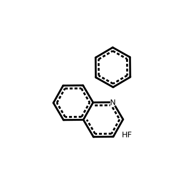 F.c1ccc2ncccc2c1.c1ccccc1